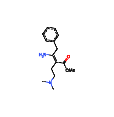 COC(=O)C(CCN(C)C)=C(N)Cc1ccccc1